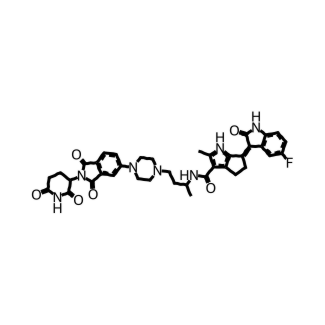 Cc1[nH]c2c(c1C(=O)NC(C)CCN1CCN(c3ccc4c(c3)C(=O)N(C3CCC(=O)NC3=O)C4=O)CC1)CC/C2=C1/C(=O)Nc2ccc(F)cc21